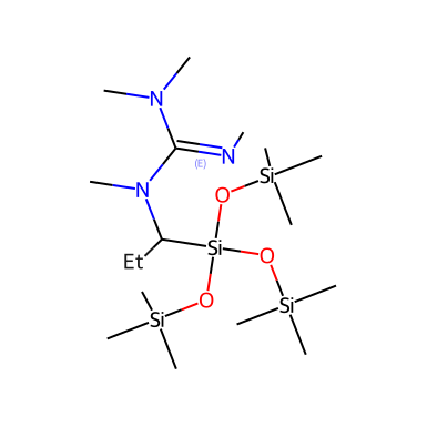 CCC(N(C)/C(=N/C)N(C)C)[Si](O[Si](C)(C)C)(O[Si](C)(C)C)O[Si](C)(C)C